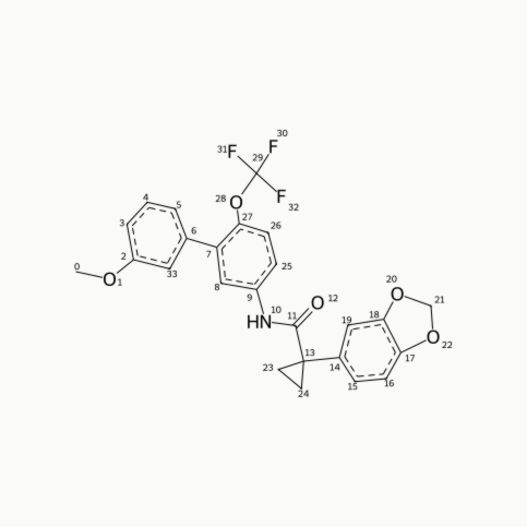 COc1cccc(-c2cc(NC(=O)C3(c4ccc5c(c4)OCO5)CC3)ccc2OC(F)(F)F)c1